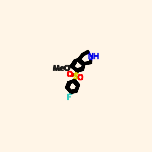 COc1cc2c(cc1S(=O)(=O)c1ccc(F)cc1)CNCC2